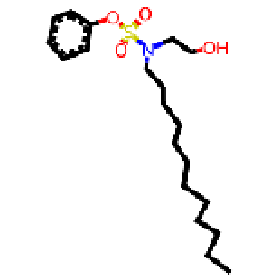 CCCCCCCCCCCCN(CCO)S(=O)(=O)Oc1ccccc1